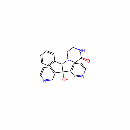 O=C1CN(C(c2ccccc2)C(O)(c2cccnc2)c2cccnc2)CCN1